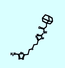 Nc1nnc(CCSCCc2nnc(NC(=O)CC34CC5CC(CC(C5)C3)C4)[se]2)[se]1